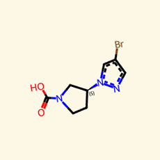 O=C(O)N1CC[C@H](n2cc(Br)cn2)C1